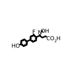 O=C(O)CCC(=NO)c1ccc(-c2ccc(O)cc2)cc1F